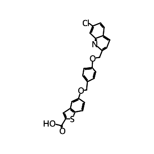 O=C(O)c1cc2cc(OCc3ccc(OCc4ccc5ccc(Cl)cc5n4)cc3)ccc2s1